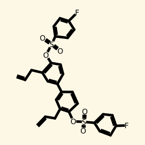 C=CCc1cc(-c2ccc(OS(=O)(=O)c3ccc(F)cc3)c(CC=C)c2)ccc1OS(=O)(=O)c1ccc(F)cc1